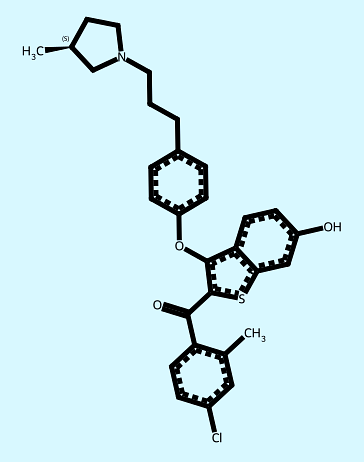 Cc1cc(Cl)ccc1C(=O)c1sc2cc(O)ccc2c1Oc1ccc(CCCN2CC[C@H](C)C2)cc1